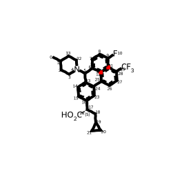 CC1CCN(C(c2ccc(F)cc2)c2ccc([C@H](CC3CC3)C(=O)O)cc2-c2ccc(C(F)(F)F)cc2)CC1